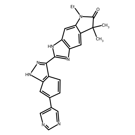 CCN1C(=O)C(C)(C)c2cc3nc(-c4n[nH]c5cc(-c6cncnc6)ccc45)[nH]c3cc21